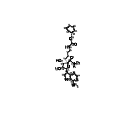 CCNC(=O)[C@@]1(CCCCNC(=O)OCc2ccccc2)O[C@@H](n2cnc3c(N)ncnc32)[C@H](O)[C@@H]1O